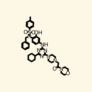 Cc1ccc(S(=O)(=O)N(Cc2ccccc2)c2ccc(Nc3nc(C4CCCCC4)nc(N4CCN(CC(=O)N5CCOCC5)CC4)n3)cc2O)cc1